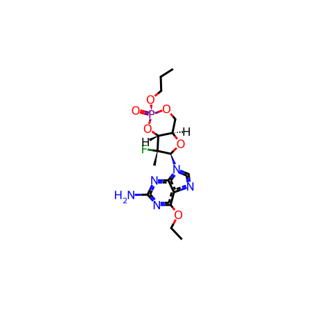 CCCO[P@@]1(=O)OC[C@H]2O[C@@H](n3cnc4c(OCC)nc(N)nc43)[C@](C)(F)[C@@H]2O1